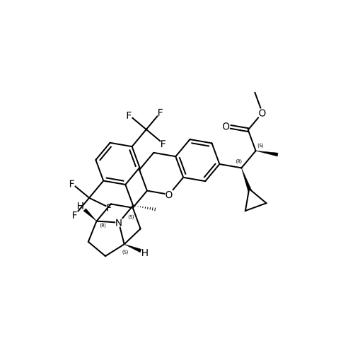 COC(=O)[C@@H](C)[C@H](c1ccc2c(c1)OC(C1C[C@H]3CC[C@@H](C1)N3[C@@H](C)c1cc(C(F)(F)F)ccc1C(F)(F)F)CC2)C1CC1